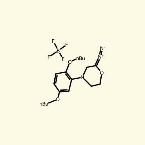 CCCCOc1ccc(OCCCC)c(N2CCOC(=[N+]=[N-])C2)c1.F[B-](F)(F)F